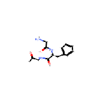 CC(=O)CNC(=O)[C@H](Cc1ccccc1)NC(=O)CN